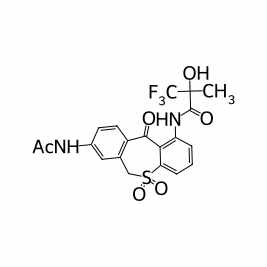 CC(=O)Nc1ccc2c(c1)CS(=O)(=O)c1cccc(NC(=O)C(C)(O)C(F)(F)F)c1C2=O